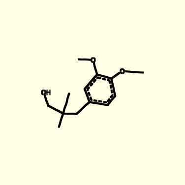 COc1ccc(CC(C)(C)CO)cc1OC